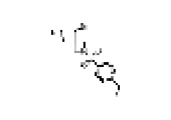 CCc1ccc(S(=O)(=O)N2CC(CO)(CBr)C2)cc1